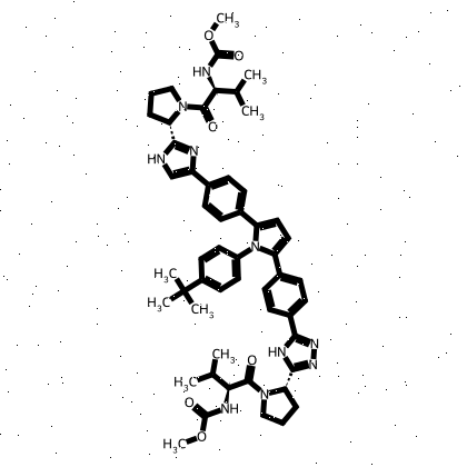 COC(=O)N[C@H](C(=O)N1CCC[C@H]1c1nc(-c2ccc(-c3ccc(-c4ccc(-c5nnc([C@@H]6CCCN6C(=O)[C@@H](NC(=O)OC)C(C)C)[nH]5)cc4)n3-c3ccc(C(C)(C)C)cc3)cc2)c[nH]1)C(C)C